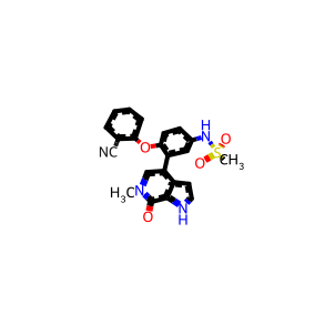 Cn1cc(-c2cc(NS(C)(=O)=O)ccc2Oc2ccccc2C#N)c2cc[nH]c2c1=O